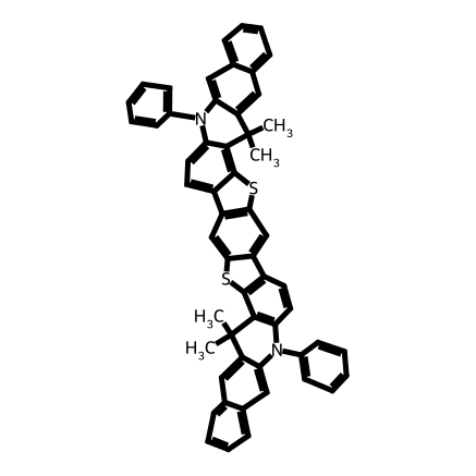 CC1(C)c2cc3ccccc3cc2N(c2ccccc2)c2ccc3c(sc4cc5c(cc43)sc3c4c(ccc35)N(c3ccccc3)c3cc5ccccc5cc3C4(C)C)c21